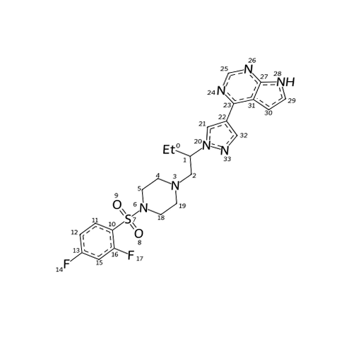 CCC(CN1CCN(S(=O)(=O)c2ccc(F)cc2F)CC1)n1cc(-c2ncnc3[nH]ccc23)cn1